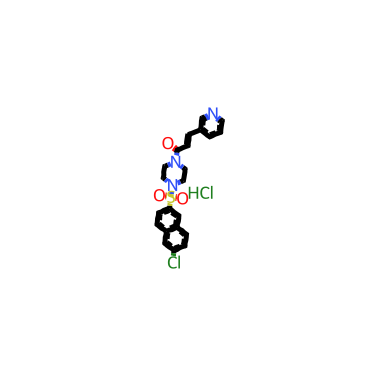 Cl.O=C(C=Cc1cccnc1)N1CCN(S(=O)(=O)c2ccc3cc(Cl)ccc3c2)CC1